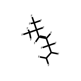 FC(=C(F)C(F)(C(F)(F)F)C(F)(F)F)C(F)(F)C(F)C(F)F